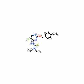 Cc1ccc(COc2ncc(F)c(NC(=S)N(C)C)n2)cc1